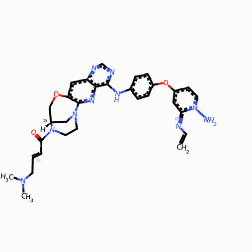 C=C/N=c1/cc(Oc2ccc(Nc3ncnc4cc5c(nc34)N3CCN(C(=O)/C=C/CN(C)C)[C@H](CO5)C3)cc2)ccn1N